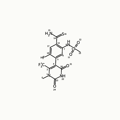 Cn1c(C(F)(F)F)c(-c2cc(NS(C)(=O)=O)c(C(N)=S)cc2F)c(=O)[nH]c1=O